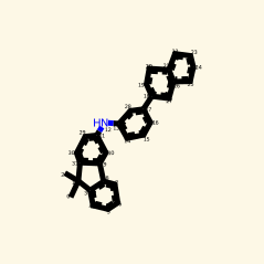 CC1(C)c2ccccc2-c2cc(Nc3cccc(-c4ccc5ccccc5c4)c3)ccc21